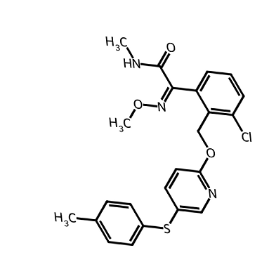 CNC(=O)C(=NOC)c1cccc(Cl)c1COc1ccc(Sc2ccc(C)cc2)cn1